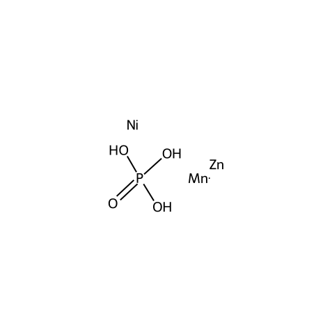 O=P(O)(O)O.[Mn].[Ni].[Zn]